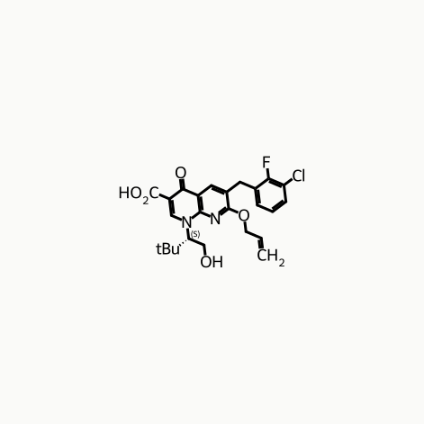 C=CCOc1nc2c(cc1Cc1cccc(Cl)c1F)c(=O)c(C(=O)O)cn2[C@H](CO)C(C)(C)C